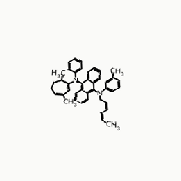 C/C=C\C=C/CN(c1cccc(C)c1)c1c2ccccc2c(N(C2=CC(C)=CCCC2C)c2ccccc2)c2ccccc12